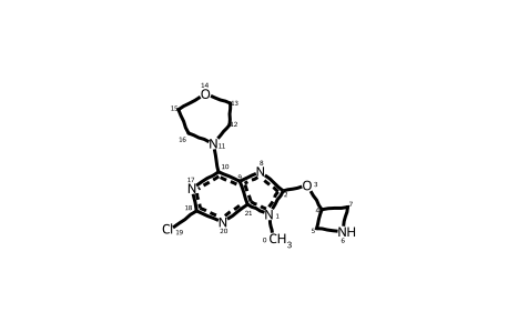 Cn1c(OC2CNC2)nc2c(N3CCOCC3)nc(Cl)nc21